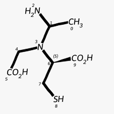 CC(N)N(CC(=O)O)[C@H](CS)C(=O)O